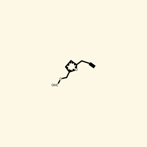 C#CCc1ccc(COC=O)o1